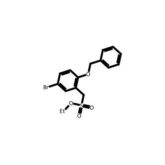 CCOS(=O)(=O)Cc1cc(Br)ccc1OCc1ccccc1